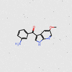 COc1cnc2[nH]cc(C(=O)c3cccc(N)c3)c2c1